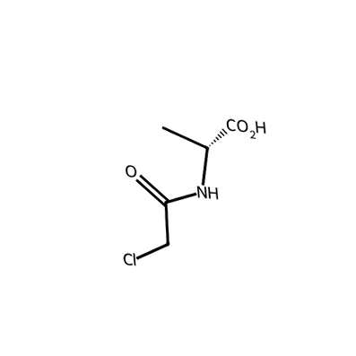 C[C@@H](NC(=O)CCl)C(=O)O